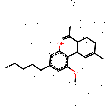 C=C(C)C1CCC(C)=CC1c1c(O)cc(CCCCC)cc1OC